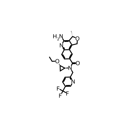 CCO[C@H]1C[C@@H]1N(Cc1ccc(C(F)(F)F)cn1)C(=O)c1ccc2nc(N)c3c(c2c1)CO[C@H]3C